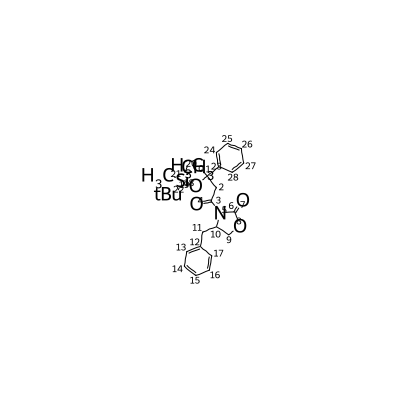 CC(CC(=O)N1C(=O)OCC1Cc1ccccc1)(O[Si](C)(C)C(C)(C)C)c1ccccc1